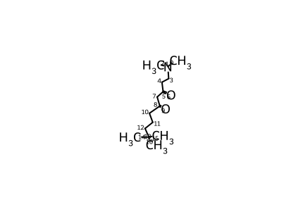 CN(C)CCC(=O)CC(=O)CCCC(C)(C)C